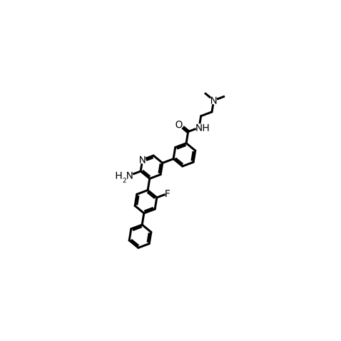 CN(C)CCNC(=O)c1cccc(-c2cnc(N)c(-c3ccc(-c4ccccc4)cc3F)c2)c1